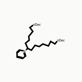 CCCCCCCCCCCCCCCCCC(CCCCCCCCCCCCCCC)[n+]1ccccc1